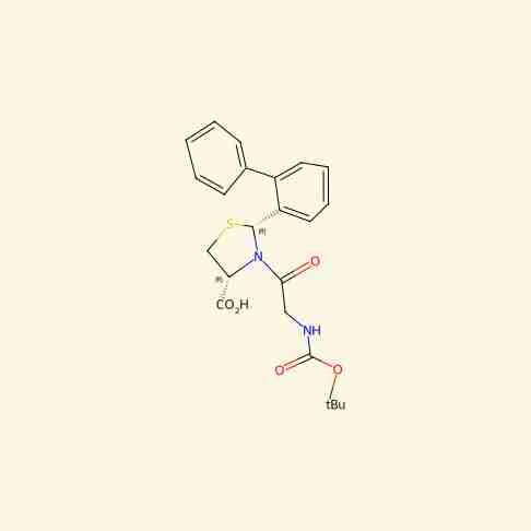 CC(C)(C)OC(=O)NCC(=O)N1[C@@H](c2ccccc2-c2ccccc2)SC[C@H]1C(=O)O